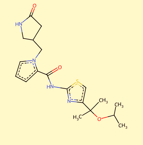 CC(C)OC(C)(C)c1csc(NC(=O)c2cccn2CC2CNC(=O)C2)n1